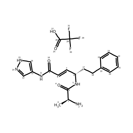 C[C@H](N)C(=O)N[C@H](C=CC(=O)Nc1cn[nH]c1)CCc1ccccc1.O=C(O)C(F)(F)F